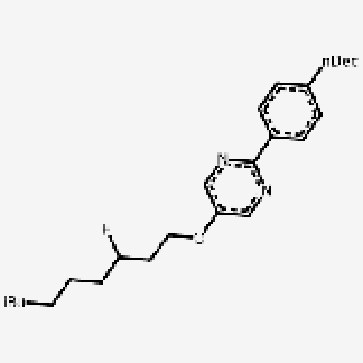 CCCCCCCCCCc1ccc(-c2ncc(OCCC(F)CCCC(C)CC)cn2)cc1